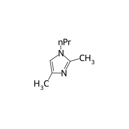 CCCn1cc(C)nc1C